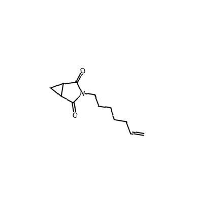 C=CCCCCCN1C(=O)C2CC2C1=O